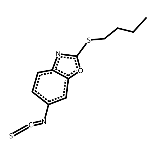 CCCCSc1nc2ccc(N=C=S)cc2o1